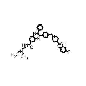 CCN(CC)CCNC(=O)c1ccc2nc(-c3ccccc3)c(-c3ccc(CN4CCC(c5nc6ccc(F)cc6[nH]5)CC4)cc3)nc2c1